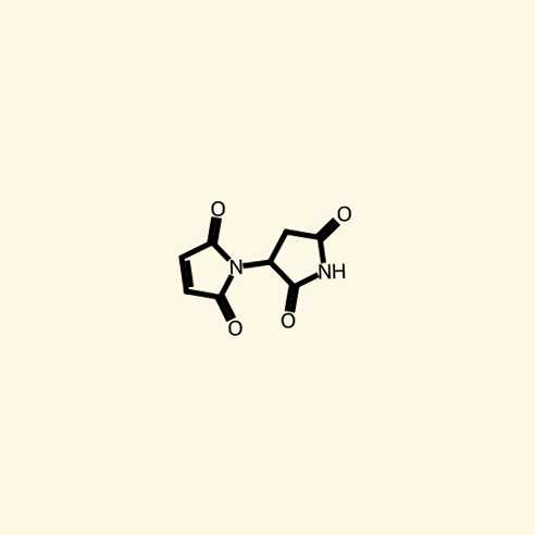 O=C1CC(N2C(=O)C=CC2=O)C(=O)N1